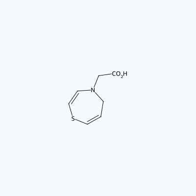 O=C(O)CN1C=CSC=CC1